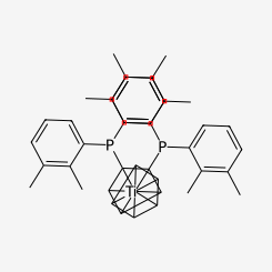 Cc1cccc(P(c2cccc(C)c2C)[C]23[CH]4[CH]5[CH]6[C]2(P(c2cccc(C)c2C)c2cccc(C)c2C)[Ti]54632789[CH]3[CH]2[CH]7[CH]8[CH]39)c1C